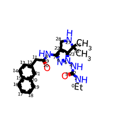 CCNC(=O)Nn1nc(NC(=O)Cc2ccc3ccccc3c2)c2c1C(C)(C)NC2